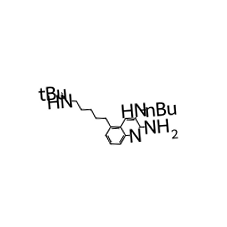 CCCCNc1cc2c(CCCCCNC(C)(C)C)cccc2nc1N